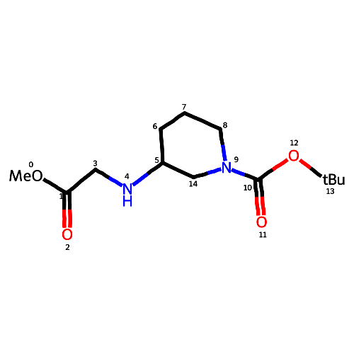 COC(=O)CNC1CCCN(C(=O)OC(C)(C)C)C1